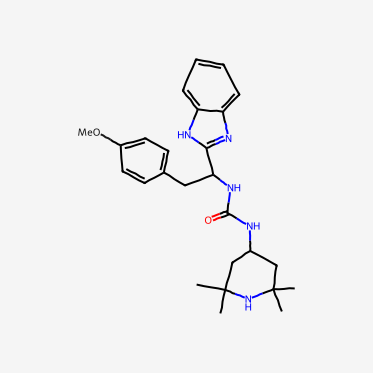 COc1ccc(CC(NC(=O)NC2CC(C)(C)NC(C)(C)C2)c2nc3ccccc3[nH]2)cc1